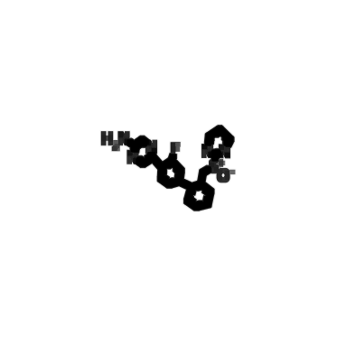 Nc1cnc(-c2ccc(-c3ccccc3C[S+]([O-])c3ncccn3)cc2F)cn1